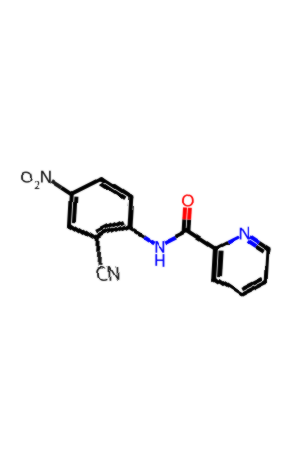 N#Cc1cc([N+](=O)[O-])ccc1NC(=O)c1ccccn1